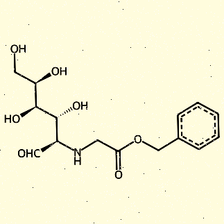 O=C[C@H](NCC(=O)OCc1ccccc1)[C@@H](O)[C@@H](O)[C@H](O)CO